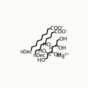 CCCCCCCCCCCCCCCCCC(=O)[O-].CCCCCCCCCCCCCCCCCC(=O)[O-].OC[C@@H](O)[C@@H](O)[C@H](O)[C@H](O)CO.[Mg+2]